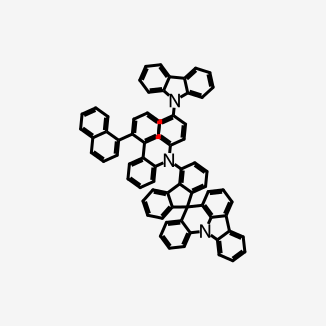 c1ccc(-c2cccc3ccccc23)c(-c2ccccc2N(c2ccc(-n3c4ccccc4c4ccccc43)cc2)c2cccc3c2-c2ccccc2C32c3ccccc3-n3c4ccccc4c4cccc2c43)c1